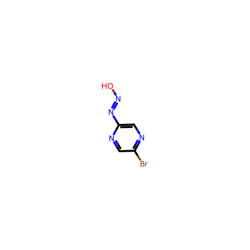 ON=Nc1cnc(Br)cn1